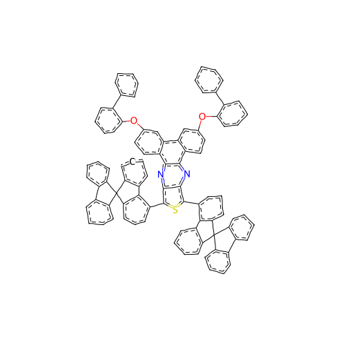 c1ccc(-c2ccccc2Oc2ccc3c(c2)c2cc(Oc4ccccc4-c4ccccc4)ccc2c2nc4c(-c5cccc6c5-c5ccccc5C65c6ccccc6-c6ccccc65)sc(-c5cccc6c5-c5ccccc5C65c6ccccc6-c6ccccc65)c4nc32)cc1